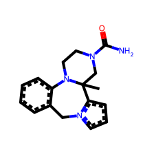 CC12CN(C(N)=O)CCN1c1ccccc1Cn1cccc12